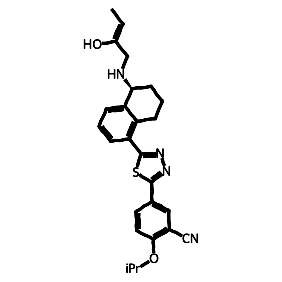 C/C=C(\O)CN[C@H]1CCCc2c(-c3nnc(-c4ccc(OC(C)C)c(C#N)c4)s3)cccc21